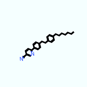 CCCCCCCc1ccc(CCc2ccc(-c3ccc(C#N)cn3)cc2)cc1